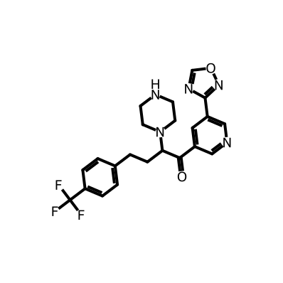 O=C(c1cncc(-c2ncon2)c1)C(CCc1ccc(C(F)(F)F)cc1)N1CCNCC1